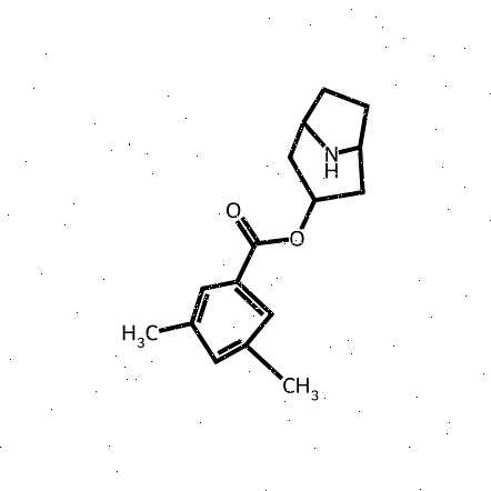 Cc1cc(C)cc(C(=O)OC2CC3CCC(C2)N3)c1